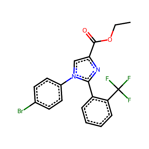 CCOC(=O)c1cn(-c2ccc(Br)cc2)c(-c2ccccc2C(F)(F)F)n1